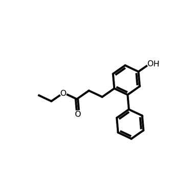 CCOC(=O)CCc1ccc(O)cc1-c1ccccc1